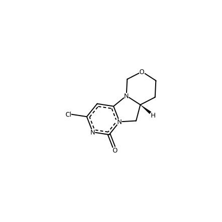 O=c1nc(Cl)cc2n1C[C@H]1CCOCN21